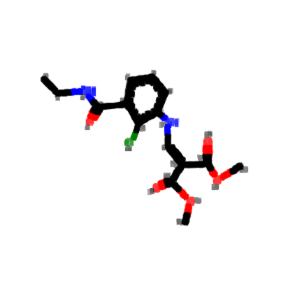 CCNC(=O)c1cccc(NC=C(C(=O)OC)C(=O)OC)c1Cl